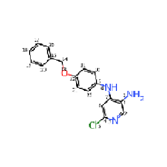 Nc1cnc(Cl)cc1Nc1ccc(OCc2ccccc2)cc1